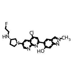 Cn1cc2cc(-c3cc(Cl)c4cc(N5CC[C@H](NCCF)C5)cnc4n3)c(O)cc2n1